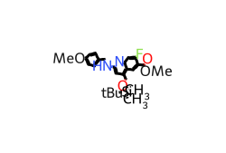 COC(=O)c1cc2c(CO[Si](C)(C)C(C)(C)C)cc(NCc3ccc(OC)cc3)nc2cc1F